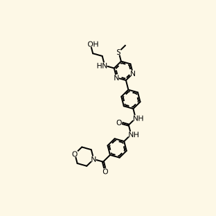 CSc1cnc(-c2ccc(NC(=O)Nc3ccc(C(=O)N4CCOCC4)cc3)cc2)nc1NCCO